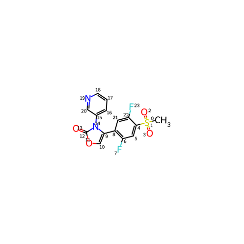 CS(=O)(=O)c1cc(F)c(-c2coc(=O)n2-c2cccnc2)cc1F